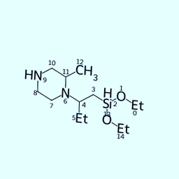 CCO[SiH](CC(CC)N1CCNCC1C)OCC